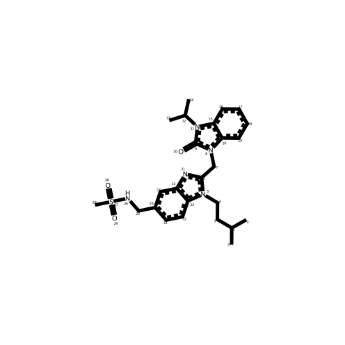 CC(C)CCn1c(Cn2c(=O)n(C(C)C)c3ccccc32)nc2cc(CNS(C)(=O)=O)ccc21